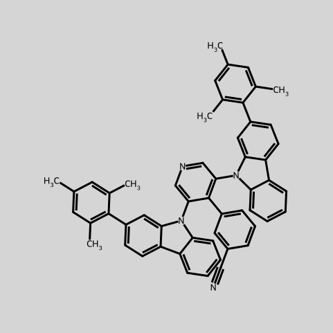 Cc1cc(C)c(-c2ccc3c4ccccc4n(-c4cncc(-n5c6ccccc6c6ccc(-c7c(C)cc(C)cc7C)cc65)c4-c4cccc(C#N)c4)c3c2)c(C)c1